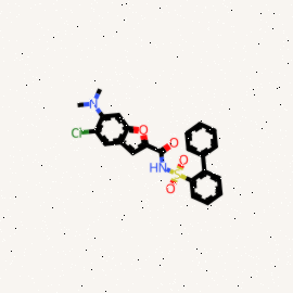 CN(C)c1cc2oc(C(=O)NS(=O)(=O)c3ccccc3-c3ccccc3)cc2cc1Cl